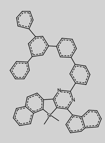 C[Si]1(C)c2c(nc(-c3cccc(-c4cccc(-c5cc(-c6ccccc6)cc(-c6ccccc6)c5)c4)c3)nc2-c2cccc3ccccc23)-c2ccc3ccccc3c21